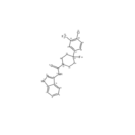 O=C(Nc1n[nH]c2ccccc12)N1CCC(F)(c2ccc(Cl)c(C(F)(F)F)c2)CC1